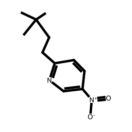 CC(C)(C)CCc1ccc([N+](=O)[O-])cn1